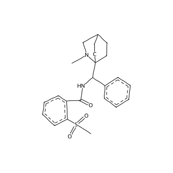 CN1CC2CCC1(C(NC(=O)c1ccccc1S(C)(=O)=O)c1ccccc1)CC2